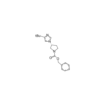 CC(C)(C)c1cn([C@@H]2CCN(C(=O)OCc3ccccc3)C2)cn1